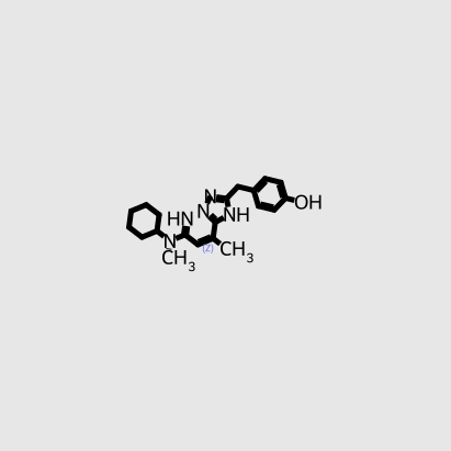 C/C(=C/C(=N)N(C)C1CCCCC1)c1nnc(Cc2ccc(O)cc2)[nH]1